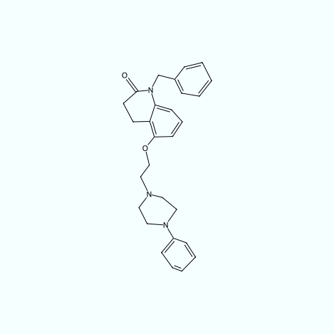 O=C1CCc2c(OCCN3CCN(c4ccccc4)CC3)cccc2N1Cc1ccccc1